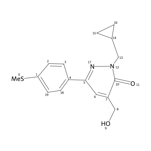 CSc1ccc(-c2cc(CO)c(=O)n(CC3CC3)n2)cc1